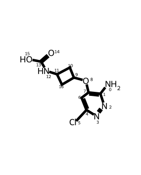 Nc1nnc(Cl)cc1OC1CC(NC(=O)O)C1